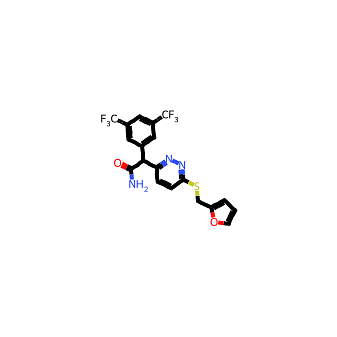 NC(=O)C(c1cc(C(F)(F)F)cc(C(F)(F)F)c1)c1ccc(SCc2ccco2)nn1